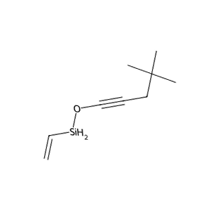 C=C[SiH2]OC#CCC(C)(C)C